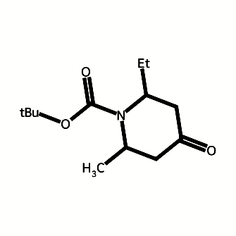 CCC1CC(=O)CC(C)N1C(=O)OC(C)(C)C